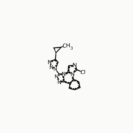 CC1CC1c1cn(-c2nnc3c4ccccc4n4c(Cl)ncc4n23)nn1